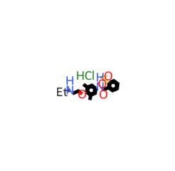 CCNCCOc1c(C)cc(NC(=O)c2ccccc2S(C)(=O)=O)cc1C.Cl